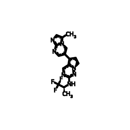 Cc1cnc2ncc(-c3ccn4nc(N[C@H](C)C(F)(F)F)ncc34)cn12